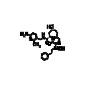 Cc1nc(N)ccc1CNC(=O)[C@@H]1CCCCc2cnc(NCCc3ccccc3)c(=O)n21.Cl.Cl